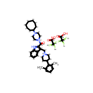 Cc1cccc(C)c1C1CCN(Cc2c(C(=O)N3CCN(C4CCCCCCC4)CC3)[nH]c3ccccc23)CC1.O=C(O)C(F)(F)F.O=C(O)C(F)(F)F